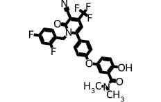 CN(C)C(=O)c1cc(Oc2ccc(-c3cc(C(F)(F)F)c(C#N)c(=O)n3Cc3ccc(F)cc3F)cc2)ccc1O